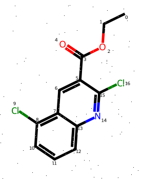 CCOC(=O)c1cc2c(Cl)cccc2nc1Cl